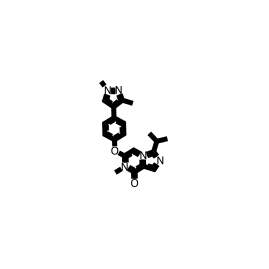 Cc1nn(C)cc1-c1ccc(Oc2cn3c(C(C)C)ncc3c(=O)n2C)cc1